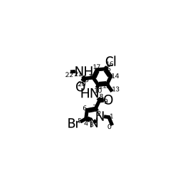 CCn1nc(Br)cc1C(=O)Nc1c(C)cc(Cl)cc1C(=O)NC